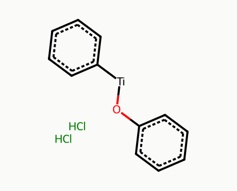 Cl.Cl.c1ccc([O][Ti][c]2ccccc2)cc1